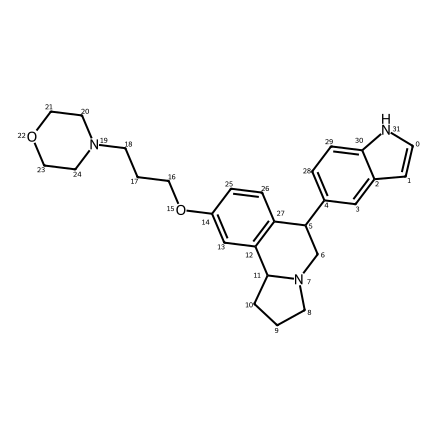 c1cc2cc(C3CN4CCCC4c4cc(OCCCN5CCOCC5)ccc43)ccc2[nH]1